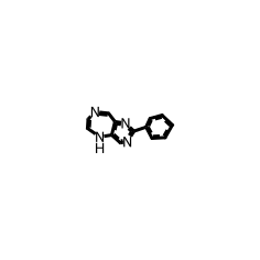 C1=CNc2cnc(-c3ccccc3)nc2C=N1